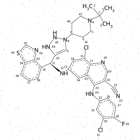 CC(C)(C)N1CCC(N2C=C([C@@H](Nc3cc(Cl)c4ncc(C#N)c(Nc5ccc(F)c(Cl)c5)c4c3)c3cccc4scnc34)NN2)CC1